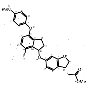 COC(=O)C[C@H]1COc2cc(OC3CCc4c(Oc5ccc(OC)cc5)ccc(F)c43)ccc21